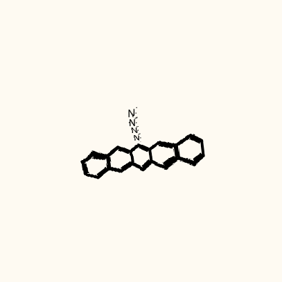 [N].[N].[N].[N].c1ccc2cc3cc4cc5ccccc5cc4cc3cc2c1